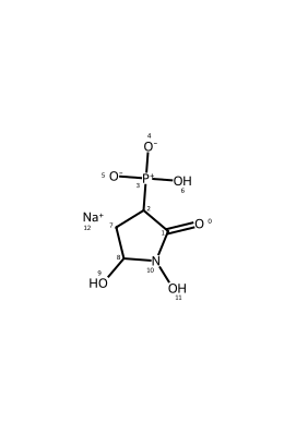 O=C1C([P+]([O-])([O-])O)CC(O)N1O.[Na+]